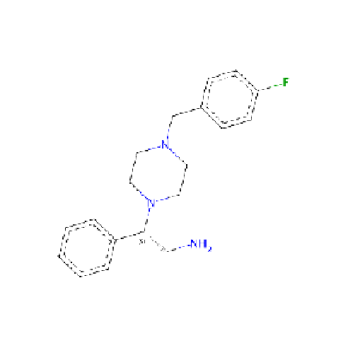 NC[C@H](c1ccccc1)N1CCN(Cc2ccc(F)cc2)CC1